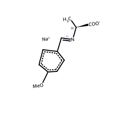 COc1ccc(/C=N/[C@@H](C)C(=O)[O-])cc1.[Na+]